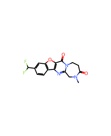 CN1Cc2nc3c(oc4cc(C(F)F)ccc43)c(=O)n2CCC1=O